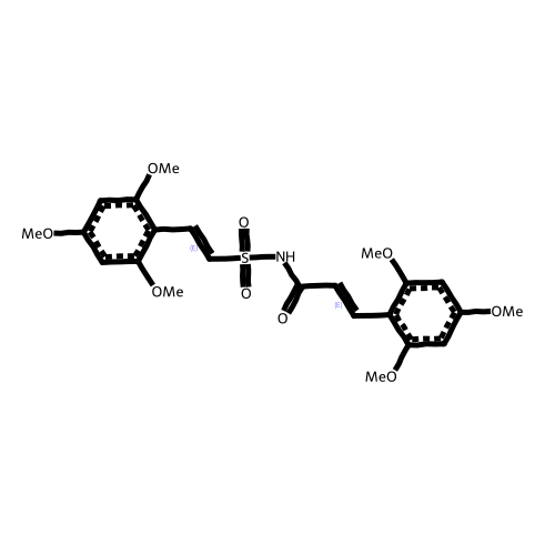 COc1cc(OC)c(/C=C/C(=O)NS(=O)(=O)/C=C/c2c(OC)cc(OC)cc2OC)c(OC)c1